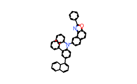 C1=CC2C=CC=C(c3ccc(N(c4ccccc4)c4ccc5ccc6oc(-c7ccccc7)nc6c5c4)c(-c4ccccc4)c3)C2C=C1